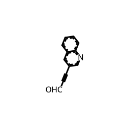 O=CC#Cc1cnc2ccccc2c1